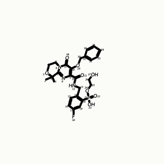 CC1(C)OCCn2c1nc(C(=O)NCc1ccc(F)cc1P(=O)(O)OCCO)c(OCc1ccccc1)c2=O